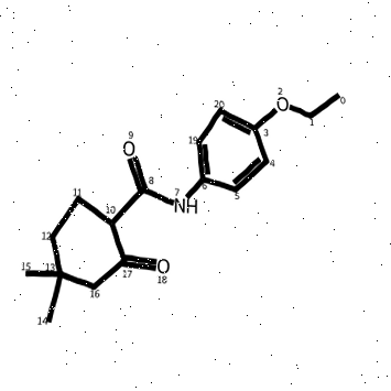 CCOc1ccc(NC(=O)C2CCC(C)(C)CC2=O)cc1